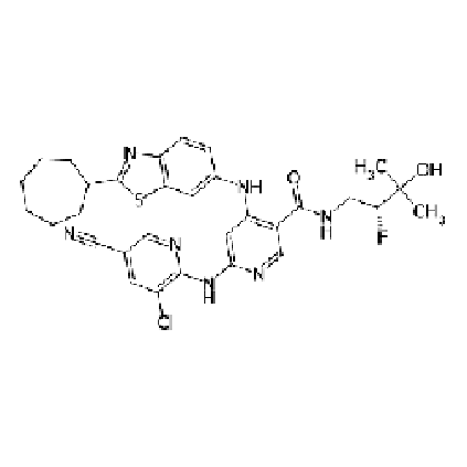 CC(C)(O)[C@H](F)CNC(=O)c1cnc(Nc2ncc(C#N)cc2Cl)cc1Nc1ccc2nc(C3CCCCCC3)sc2c1